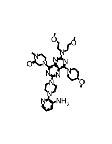 COCCN(CCOC)c1nc(N2CCC(OC)CC2)c2nc(N3CCN(c4ncccc4N)CC3)nc(N3CCN(C)C(=O)C3)c2n1